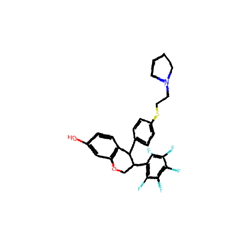 Oc1ccc2c(c1)OCC(c1c(F)c(F)c(F)c(F)c1F)C2c1ccc(SCCN2CCCC2)cc1